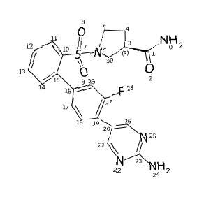 NC(=O)[C@@H]1CCN(S(=O)(=O)c2ccccc2-c2ccc(-c3cnc(N)nc3)c(F)c2)C1